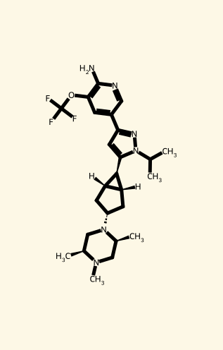 CC(C)n1nc(-c2cnc(N)c(OC(F)(F)F)c2)cc1[C@H]1[C@@H]2C[C@H](N3C[C@H](C)N(C)C[C@@H]3C)C[C@@H]21